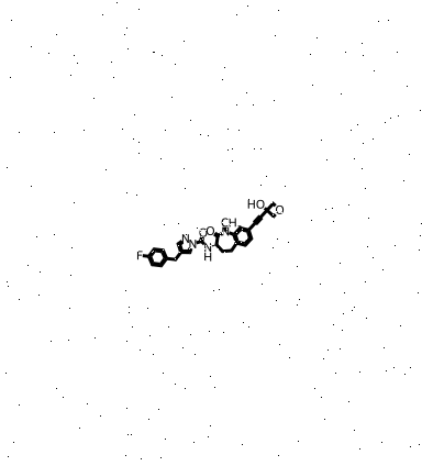 CN1C(=O)[C@@H](NC(=O)n2cc(Cc3ccc(F)cc3)cn2)CCc2ccc(C#CC3(O)COC3)cc21